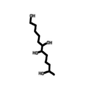 CC(O)CCCC(O)C(O)CCCCCO